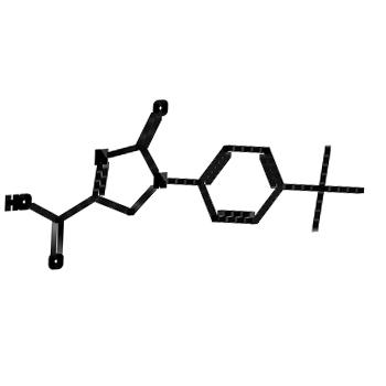 CC(C)(C)c1ccc(N2CC(C(=O)O)=NC2=O)cc1